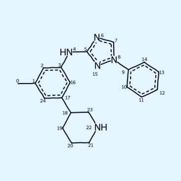 Cc1cc(Nc2ncn(-c3ccccc3)n2)cc(C2CCCNC2)c1